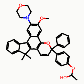 COc1cc2c3c(c4c(c2cc1N1CCOCC1)-c1ccccc1C4(C)C)C=CC(c1ccccc1)(c1ccc(OC(C)O)cc1)O3